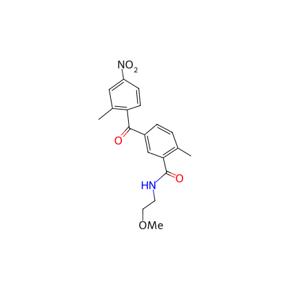 COCCNC(=O)c1cc(C(=O)c2ccc([N+](=O)[O-])cc2C)ccc1C